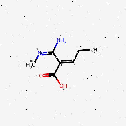 CC/C=C(C(=O)O)\C(N)=N/C